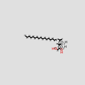 C=C(C)C(=O)O.C=C(C)C(=O)O.CCCCCCCCCCCCCCCCC.OCCO